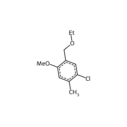 CCOCc1cc(Cl)c(C)cc1OC